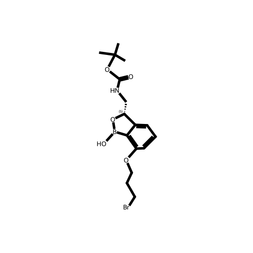 CC(C)(C)OC(=O)NC[C@H]1OB(O)c2c(OCCCBr)cccc21